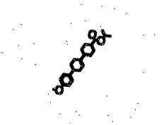 COc1ccc(C2CC=C(C3=CCC(C(=O)OC(C)C)CC3)CC2)cc1